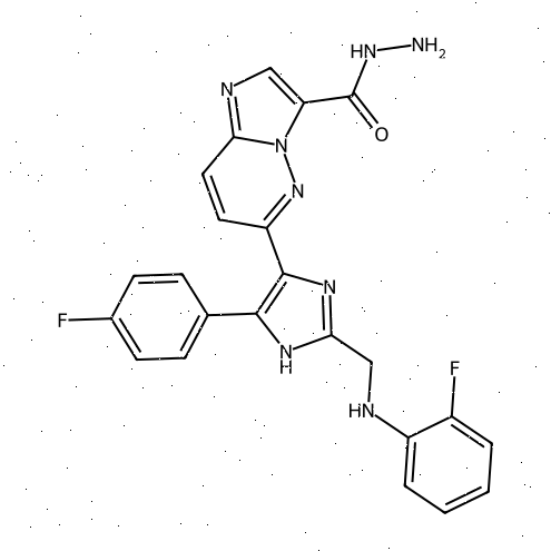 NNC(=O)c1cnc2ccc(-c3nc(CNc4ccccc4F)[nH]c3-c3ccc(F)cc3)nn12